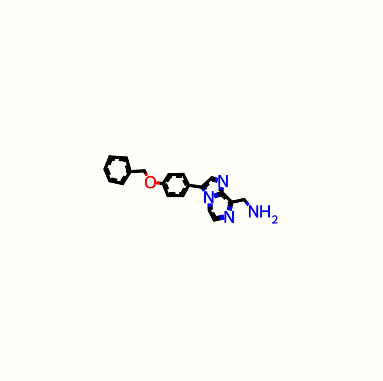 NCc1nccn2c(-c3ccc(OCc4ccccc4)cc3)cnc12